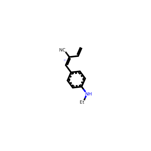 C=C/C(C#N)=C\c1ccc(NCC)cc1